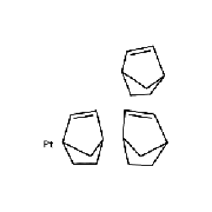 C1=CC2CCC1C2.C1=CC2CCC1C2.C1=CC2CCC1C2.[Pt]